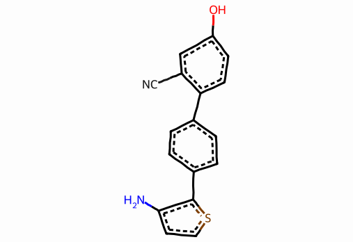 N#Cc1cc(O)ccc1-c1ccc(-c2sccc2N)cc1